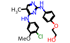 COc1cc(Nc2nc(Nc3ccc(OCCO)cc3)ncc2C)ccc1Cl